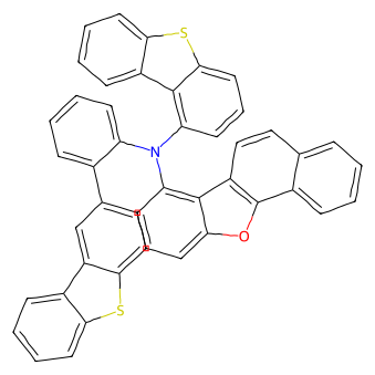 c1ccc(N(c2cccc3oc4c5ccccc5ccc4c23)c2cccc3sc4ccccc4c23)c(-c2ccc3sc4ccccc4c3c2)c1